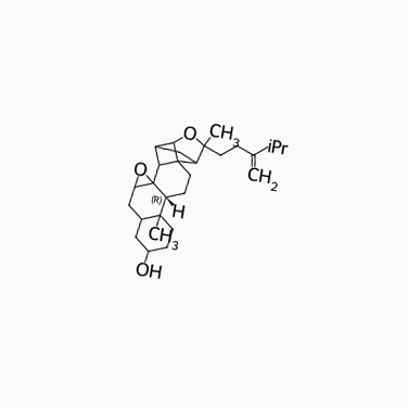 C=C(CCC1(C)OC2C3CC1C21CC[C@@H]2C4(C)CCC(O)CC4CC4OC42C31)C(C)C